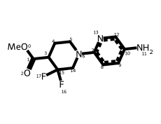 COC(=O)C1CCN(c2ccc(N)cn2)CC1(F)F